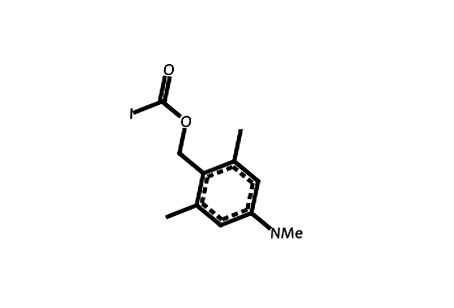 CNc1cc(C)c(COC(=O)I)c(C)c1